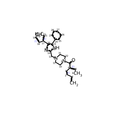 C=C/C=C\C(=C/C)C(=O)N1CCN(Cc2nc(C(/C=C\C)=C/C)c(-c3ccccc3)[nH]2)CC1